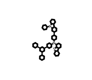 c1ccc(-c2cc(-c3ccccc3)cc(-c3ccc(N(c4ccc(-c5ccc6c7ccccc7n(-c7ccccc7)c6c5)cc4)c4cccc5c4sc4ccccc45)cc3)c2)cc1